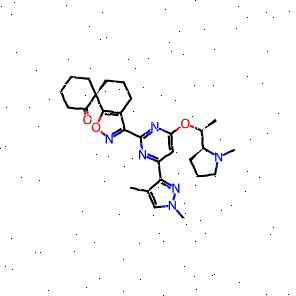 Cc1cn(C)nc1-c1cc(O[C@@H](C)[C@@H]2CCCN2C)nc(-c2noc3c2CCC[C@@]32CCCCC2=O)n1